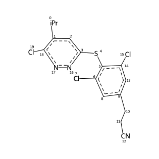 CC(C)c1cc(Sc2c(Cl)cc(CCC#N)cc2Cl)nnc1Cl